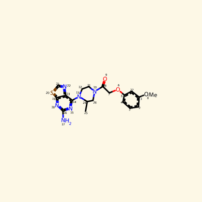 COc1cccc(OCC(=O)N2CCN(c3nc(N)nc4scnc34)C(C)C2)c1